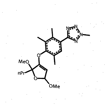 CCCC1(OC)OC(OC)C=C1Oc1c(C)cc(-c2nnn(C)n2)c(C)c1C